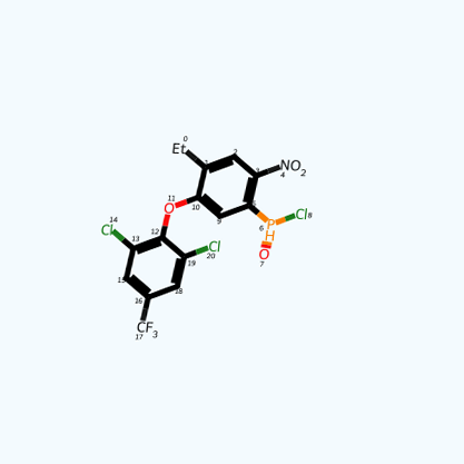 CCc1cc([N+](=O)[O-])c([PH](=O)Cl)cc1Oc1c(Cl)cc(C(F)(F)F)cc1Cl